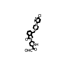 O=CC(=O)C1CCC(N2Cc3c(CN4CCN(c5ccc(Cl)nn5)CC4)cccc3C2=O)CN1